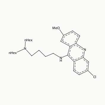 CCCCCCN(CCCCCC)CCCCNc1c2ccc(Cl)cc2nc2ccc(OC)cc12